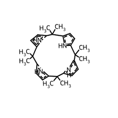 CC1(C)c2ccc([nH]2)C(C)(C)c2ccc([nH]2)C(C)(C)c2ccc([nH]2)C(C)(C)c2ccc1[nH]2